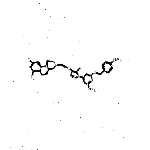 COc1ccc(COc2cc(-n3ncc(CC=CN4CCN5c6cc(F)cc(F)c6CCC5C4)c3C)nc(N)n2)cc1